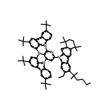 CCCCC(C)(C)c1cc2c3cc4c(cc3n(-c3cc5c6c(n3)-n3c7ccc(C(C)(C)C)cc7c7cc(C(C)(C)C)cc(c73)B6c3cc(C(C)(C)C)cc6c7cc(C(C)(C)C)ccc7n-5c36)c2cc1CC)C(C)(C)CCC4(C)C